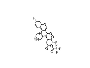 O=C(CC(NC(=O)c1cnc2cc(F)ccc2c1N1CCNCC1)C(=O)CF)OC(=O)C(F)(F)F